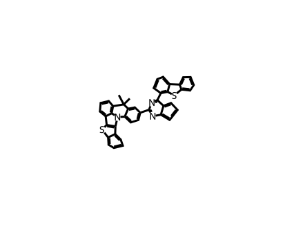 CC1(C)c2cc(-c3nc(-c4cccc5c4sc4ccccc45)c4ccccc4n3)ccc2-n2c3c1cccc3c1sc3ccccc3c12